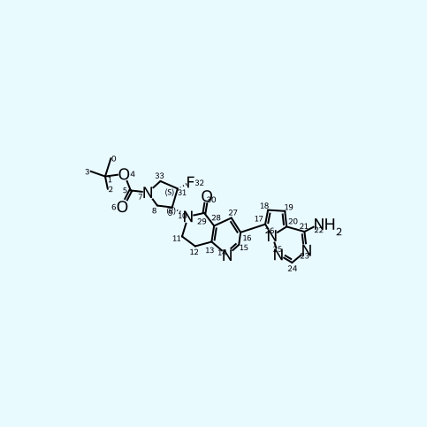 CC(C)(C)OC(=O)N1C[C@@H](N2CCc3ncc(-c4ccc5c(N)ncnn45)cc3C2=O)[C@@H](F)C1